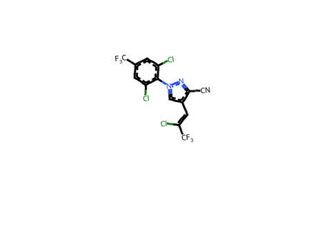 N#Cc1nn(-c2c(Cl)cc(C(F)(F)F)cc2Cl)cc1C=C(Cl)C(F)(F)F